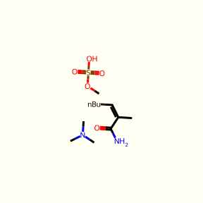 CCCCC=C(C)C(N)=O.CN(C)C.COS(=O)(=O)O